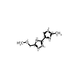 COCC1=NN=C(c2csc(C)n2)[N]1